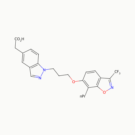 CCCc1c(OCCCn2ncc3cc(CC(=O)O)ccc32)ccc2c(C(F)(F)F)noc12